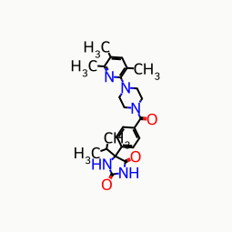 Cc1cc(C)c(N2CCN(C(=O)c3ccc(C4(C(C)C)NC(=O)NC4=O)cc3)CC2)nc1C